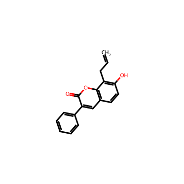 C=CCc1c(O)ccc2cc(-c3ccccc3)c(=O)oc12